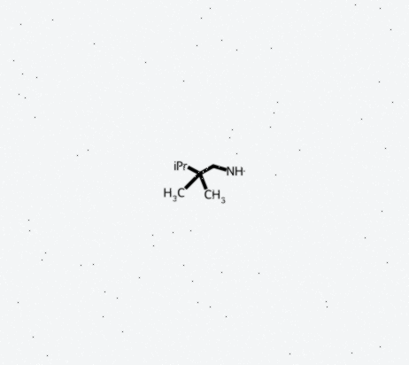 CC(C)C(C)(C)C[NH]